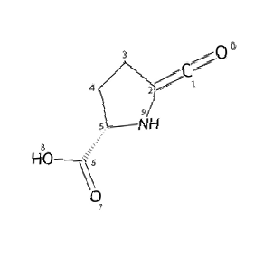 O=C=C1CC[C@@H](C(=O)O)N1